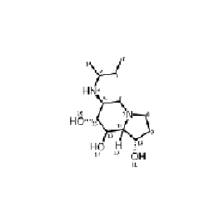 CCC(C)N[C@H]1CN2CC[C@H](O)[C@@H]2[C@@H](O)[C@@H]1O